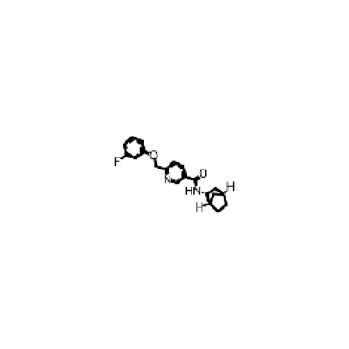 O=C(N[C@@H]1C[C@@H]2CC[C@H]1C2)c1ccc(COc2cccc(F)c2)nc1